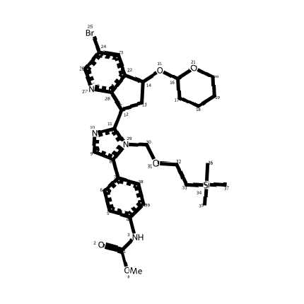 COC(=O)Nc1ccc(-c2cnc(C3CC(OC4CCCCO4)c4cc(Br)cnc43)n2COCC[Si](C)(C)C)cc1